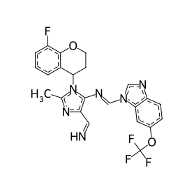 Cc1nc(C=N)c(/N=C/n2cnc3ccc(OC(F)(F)F)cc32)n1C1CCOc2c(F)cccc21